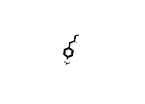 CS(=O)(=O)c1ccc([C@H](O)[C@H](N)CF)cc1